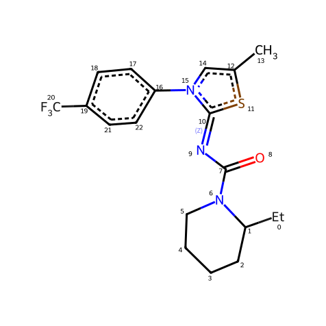 CCC1CCCCN1C(=O)/N=c1\sc(C)cn1-c1ccc(C(F)(F)F)cc1